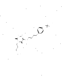 CCOC(=O)C(C)(C)Oc1ccc(CCCCOc2nn(C)c(=O)n(CCCC(F)(F)F)c2=O)cc1